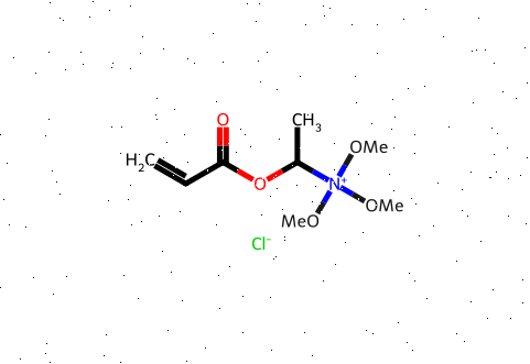 C=CC(=O)OC(C)[N+](OC)(OC)OC.[Cl-]